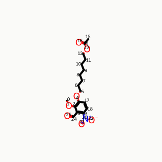 COc1c(OCCCCCCCCOC(C)=O)ccc([N+](=O)[O-])c1C=O